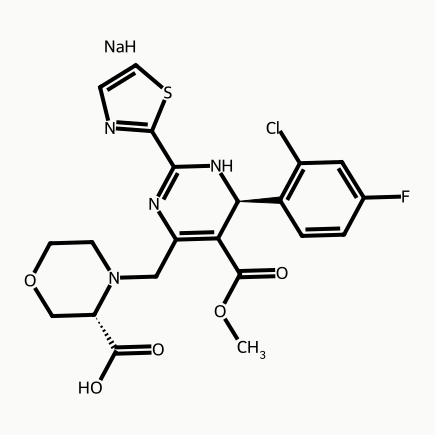 COC(=O)C1=C(CN2CCOC[C@H]2C(=O)O)N=C(c2nccs2)N[C@H]1c1ccc(F)cc1Cl.[NaH]